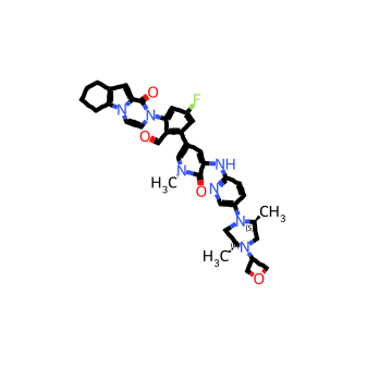 C[C@@H]1CN(c2ccc(Nc3cc(-c4cc(F)cc(-n5ccn6c7c(cc6c5=O)CCCC7)c4C=O)cn(C)c3=O)nc2)[C@@H](C)CN1C1COC1